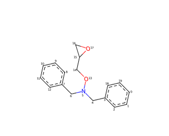 c1ccc(CN(Cc2ccccc2)OCC2CO2)cc1